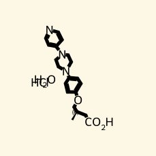 C[C@@H](COc1ccc(N2CCN(c3ccncc3)CC2)cc1)CC(=O)O.Cl.O